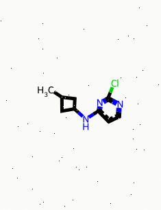 CC1CC(Nc2ccnc(Cl)n2)C1